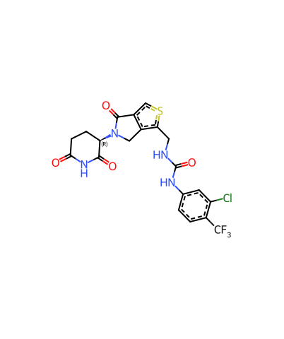 O=C1CC[C@@H](N2Cc3c(csc3CNC(=O)Nc3ccc(C(F)(F)F)c(Cl)c3)C2=O)C(=O)N1